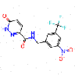 O=C(NCc1cc([N+](=O)[O-])cc(C(F)(F)F)c1)c1ccc(=O)[nH]n1